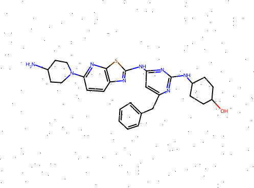 NC1CCN(c2ccc3nc(Nc4cc(Cc5ccccc5)nc(NC5CCC(O)CC5)n4)sc3n2)CC1